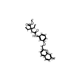 CCC(CC)(CC(=O)Nc1cccc(OCc2ccc3ccc(F)cc3n2)c1)C(=O)OC